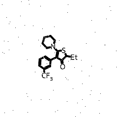 CCC1SC(N2CCCCC2)=C(c2cccc(C(F)(F)F)c2)C1=O